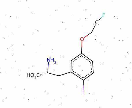 N[C@H](Cc1cc(OCCF)ccc1I)C(=O)O